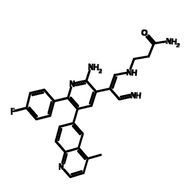 Cc1ccnc2ccc(-c3cc(/C(C=N)=C/NCCC(N)=O)c(N)nc3-c3ccc(F)cc3)cc12